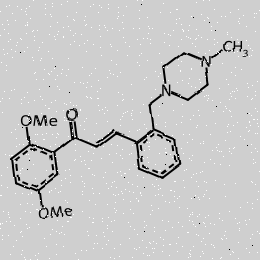 COc1ccc(OC)c(C(=O)C=Cc2ccccc2CN2CCN(C)CC2)c1